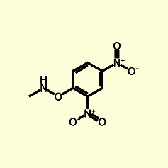 CNOc1ccc([N+](=O)[O-])cc1[N+](=O)[O-]